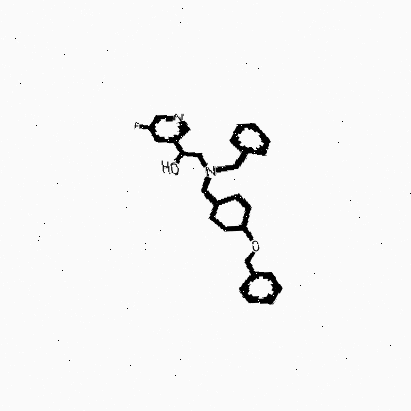 OC(CN(Cc1ccccc1)CC1CCC(OCc2ccccc2)CC1)c1cncc(F)c1